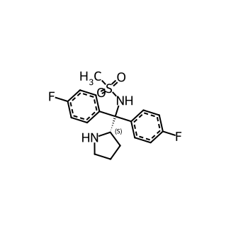 CS(=O)(=O)NC(c1ccc(F)cc1)(c1ccc(F)cc1)[C@@H]1CCCN1